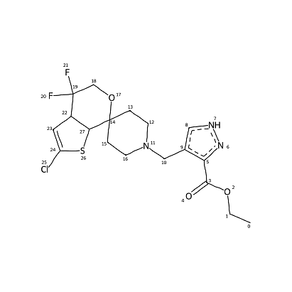 CCOC(=O)c1n[nH]cc1CN1CCC2(CC1)OCC(F)(F)C1C=C(Cl)SC12